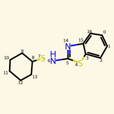 c1ccc2sc(NSC3CCCCC3)nc2c1